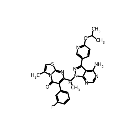 Cc1csc2nc([C@H](C)n3nc(-c4ccc(OC(C)C)nc4)c4c(N)ncnc43)c(-c3cccc(F)c3)c(=O)n12